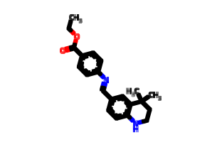 CCOC(=O)c1ccc(N=Cc2ccc3c(c2)C(C)(C)CCN3)cc1